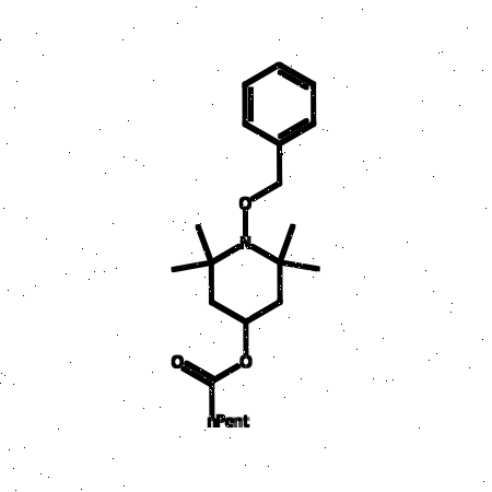 CCCCCC(=O)OC1CC(C)(C)N(OCc2ccccc2)C(C)(C)C1